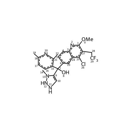 COc1nc2ccc(C(O)(C3=CNNN3C)c3ccc(C)nc3C)cc2c(Cl)c1CC(F)(F)F